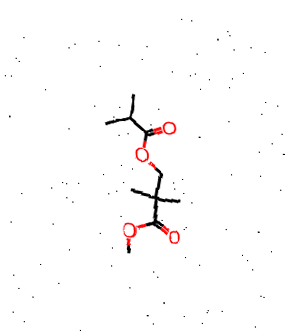 COC(=O)C(C)(C)COC(=O)C(C)C